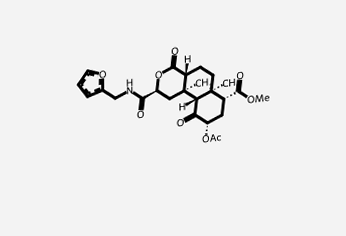 COC(=O)[C@@H]1C[C@H](OC(C)=O)C(=O)[C@H]2[C@@]1(C)CC[C@H]1C(=O)O[C@H](C(=O)NCc3ccco3)C[C@]21C